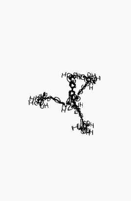 CC(=O)NC1C(OCCOCCOCCNC(=O)CN(CC(=O)NCCOCCOCCOC2OC(CO)C(O)C(O)C2NC(C)=O)C(Cc2ccc(-c3ccc(OP(=O)(O)C(C)(C)S)cc3)cc2)C(=O)NCCOCCOCCOC2OC(CO)C(O)C(O)C2NC(C)=O)OC(CO)C(O)C1O